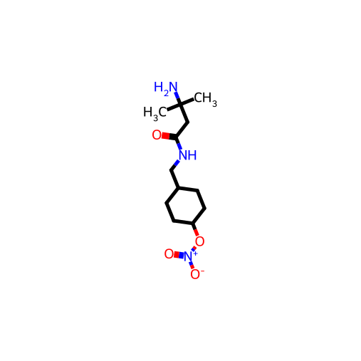 CC(C)(N)CC(=O)NCC1CCC(O[N+](=O)[O-])CC1